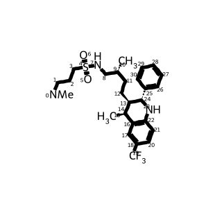 CNCCCS(=O)(=O)NC[C@H](C)CC[C@@H]1[C@H](C)c2cc(C(F)(F)F)ccc2N[C@H]1c1ccccc1